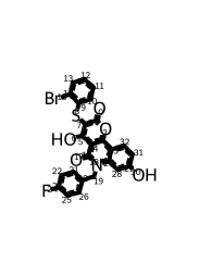 O=c1oc2c(c(O)c1Sc1ccccc1Br)c(=O)n(Cc1ccc(F)cc1)c1cc(O)ccc21